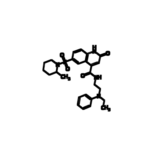 CCN(CCNC(=O)c1cc(=O)[nH]c2ccc(S(=O)(=O)N3CCCCC3C)cc12)c1ccccc1